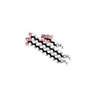 CCCCCC(O)(O)C(=O)O.CCCCCCCCCCCCCCCCCC(=O)[O-].CCCCCCCCCCCCCCCCCC(=O)[O-].[Zn+2]